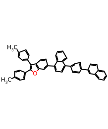 Cc1ccc(-c2oc3cc(-c4ccc(-c5ccc(-c6ccc7ccccc7c6)cc5)c5ccccc45)ccc3c2-c2ccc(C)cc2)cc1